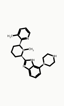 Cc1cccnc1[C@@H]1CCC[C@H](c2nc3cccc(N4CCNCC4)c3[nH]2)N1C